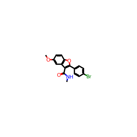 CNC(=O)c1c(-c2ccc(Br)cc2)oc2ccc(OC)cc12